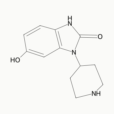 O=c1[nH]c2ccc(O)cc2n1C1CCNCC1